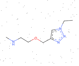 CCn1cc(COCCNC)nn1